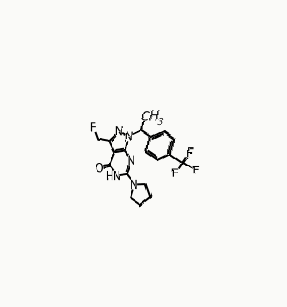 CC(c1ccc(C(F)(F)F)cc1)n1nc(CF)c2c(=O)[nH]c(N3CCCC3)nc21